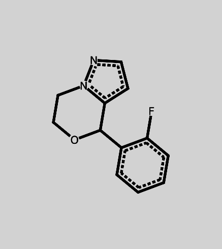 Fc1ccccc1C1OCCn2nccc21